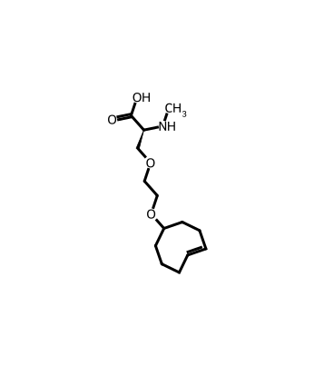 CN[C@@H](COCCOC1CC/C=C/CCC1)C(=O)O